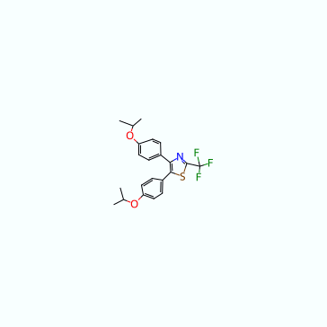 CC(C)Oc1ccc(-c2nc(C(F)(F)F)sc2-c2ccc(OC(C)C)cc2)cc1